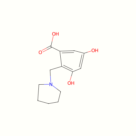 O=C(O)c1cc(O)cc(O)c1CN1CCCCC1